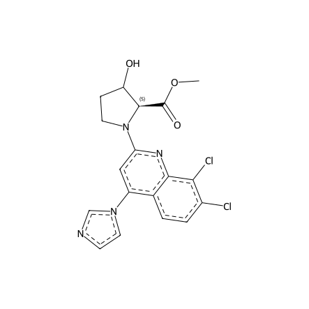 COC(=O)[C@@H]1C(O)CCN1c1cc(-n2ccnc2)c2ccc(Cl)c(Cl)c2n1